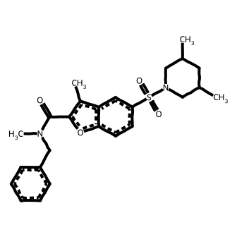 Cc1c(C(=O)N(C)Cc2ccccc2)oc2ccc(S(=O)(=O)N3CC(C)CC(C)C3)cc12